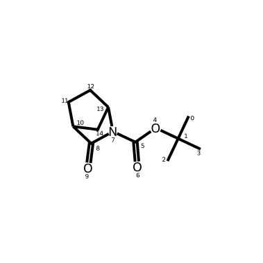 CC(C)(C)OC(=O)N1C(=O)C2CCC1C2